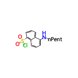 CCCCCNc1cccc2c(S(=O)(=O)Cl)cccc12